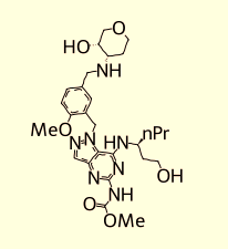 CCC[C@@H](CCO)Nc1nc(NC(=O)OC)nc2cnn(Cc3cc(CN[C@H]4CCOC[C@H]4O)ccc3OC)c12